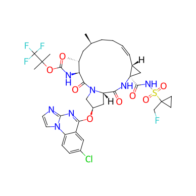 C[C@H]1CC/C=C\[C@@H]2C[C@@]2(C(=O)NS(=O)(=O)C2(CF)CC2)NC(=O)[C@@H]2C[C@@H](Oc3nc4nccn4c4ccc(Cl)cc34)CN2C(=O)[C@@H](NC(=O)OC(C)(C)C(F)(F)F)[C@H](C)C1